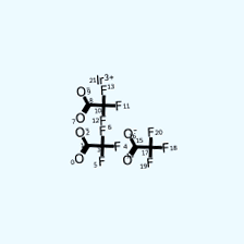 O=C([O-])C(F)(F)F.O=C([O-])C(F)(F)F.O=C([O-])C(F)(F)F.[Ir+3]